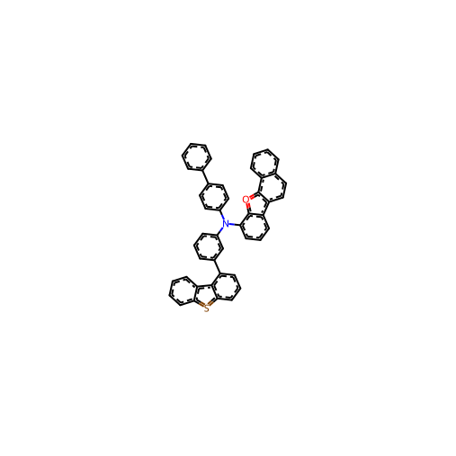 c1ccc(-c2ccc(N(c3cccc(-c4cccc5sc6ccccc6c45)c3)c3cccc4c3oc3c5ccccc5ccc43)cc2)cc1